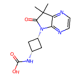 CC1(C)C(=O)N([C@H]2C[C@@H](NC(=O)O)C2)c2nccnc21